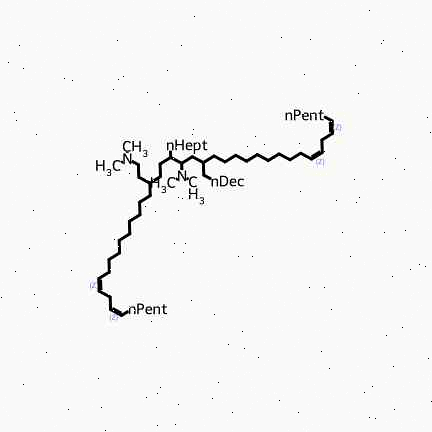 CCCCC/C=C\C/C=C\CCCCCCCCCC(CCC(CCCCCCC)C(CC(CCCCCCCCC/C=C\C/C=C\CCCCC)CCCCCCCCCCC)N(C)C)CCN(C)C